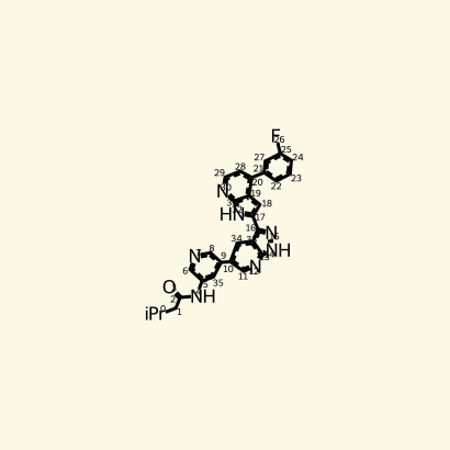 CC(C)CC(=O)Nc1cncc(-c2cnc3[nH]nc(-c4cc5c(-c6cccc(F)c6)ccnc5[nH]4)c3c2)c1